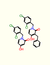 O=c1c(Cc2ccccc2)c(O)ccn1Cc1ccc(Cl)cc1Cl.O=c1cc(O)ccn1Cc1ccc(Cl)cc1Cl